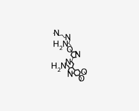 COc1cc2ncc3c(N)nc(-c4cncc(OC[C@@H](N)CN(C)CCCN(C)C)c4)cc3c2cc1OC